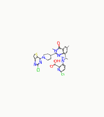 Cc1cc(C(C)Nc2ccc(Cl)nc2C(=O)O)c2nc(C3CCN(c4nc(Cl)nc5ccsc45)CC3)n(C)c(=O)c2c1